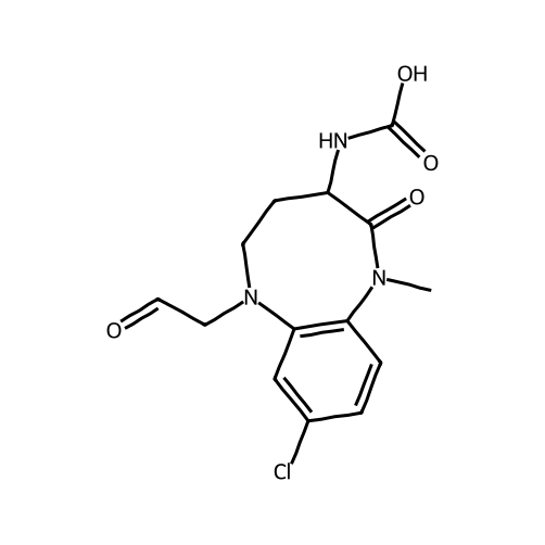 CN1C(=O)C(NC(=O)O)CCN(CC=O)c2cc(Cl)ccc21